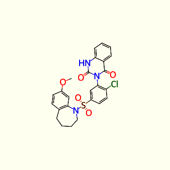 COc1ccc2c(c1)N(S(=O)(=O)c1ccc(Cl)c(-n3c(=O)[nH]c4ccccc4c3=O)c1)CCCC2